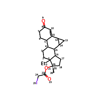 CCC12CCC3C4CCC(=O)C=C4C4CC4C3C1CC[C@]2(C)OC(=O)CI